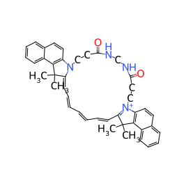 CC1(C)C2=[N+](CCC(=O)NCNC(=O)CCN3\C(=C/C=C/C=C/C=C/2)C(C)(C)c2c3ccc3ccccc23)c2ccc3ccccc3c21